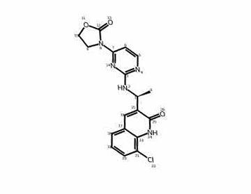 C[C@H](Nc1nccc(N2CCOC2=O)n1)c1cc2cccc(Cl)c2[nH]c1=O